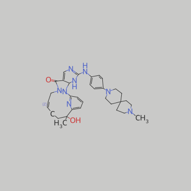 CN1CCC2(CC1)CCN(c1ccc(NC3=NC=C4C(=O)N5C/C=C\CCC(C)(O)c6cccc(n6)N5C4N3)cc1)CC2